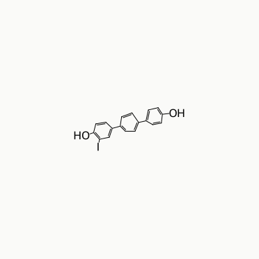 Oc1ccc(-c2ccc(-c3ccc(O)c(I)c3)cc2)cc1